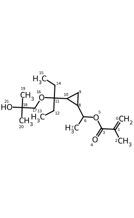 C=C(C)C(=O)OC(C)C1CC1C(CC)(CC)OCC(C)(C)O